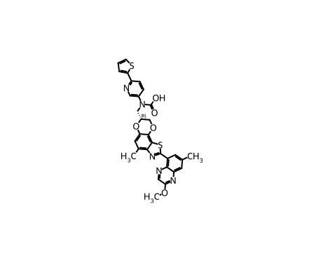 COc1cnc2c(-c3nc4c(C)cc5c(c4s3)OC[C@@H](CN(C(=O)O)c3ccc(-c4cccs4)nc3)O5)cc(C)cc2n1